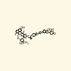 CCc1c(F)ccc2cc(O)cc(-c3ncc4c(N5CCC[C@@](C)(O)C5)nc(OCC5(CN6CCC7(CC6)CN(C6CN(c8ccc9c(c8)CN(C8CCC(=O)NC8=O)C9=O)C6)C7)CC5)nc4c3F)c12